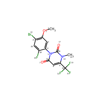 COc1cc(-n2c(=O)cc(C(F)(F)F)n(C)c2=O)c(F)cc1Br